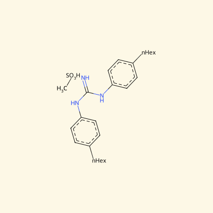 CCCCCCc1ccc(NC(=N)Nc2ccc(CCCCCC)cc2)cc1.CS(=O)(=O)O